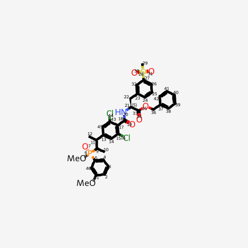 COc1cccc(P(=O)(OC)C(C)C(C)c2cc(Cl)c(C(=O)N[C@@H](Cc3cccc(S(C)(=O)=O)c3)C(=O)OCc3ccccc3)c(Cl)c2)c1